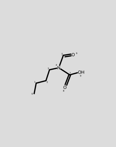 CCCCN([C]=O)C(=O)O